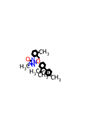 Cc1ccc(-c2ccc(OCc3c(C)cccc3-n3nnn(C)c3=O)cc2C(C)(C)C)cc1